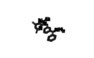 CCc1nc2c(C)cc(C)nc2n1Cc1cccc(C(N)c2ccccc2)c1